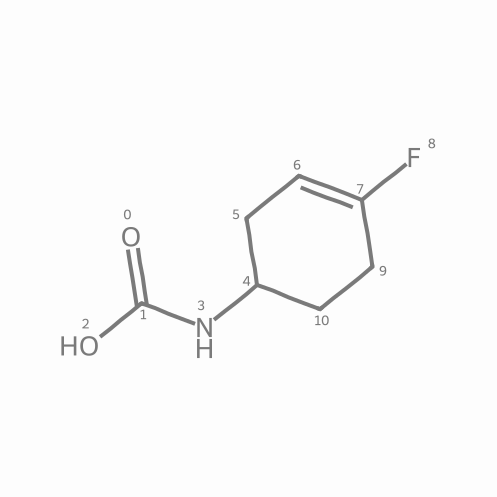 O=C(O)NC1CC=C(F)CC1